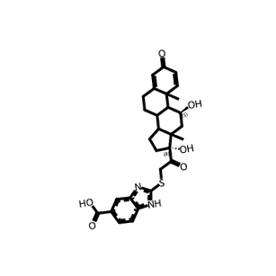 CC12C=CC(=O)C=C1CCC1C2[C@@H](O)CC2(C)C1CC[C@]2(O)C(=O)CSc1nc2cc(C(=O)O)ccc2[nH]1